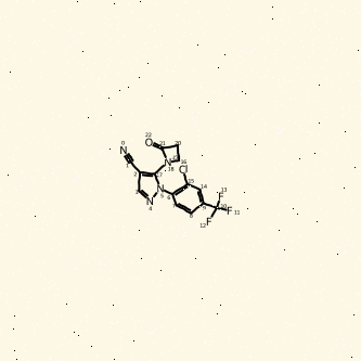 N#Cc1cnn(-c2ccc(C(F)(F)F)cc2Cl)c1N1CCC1=O